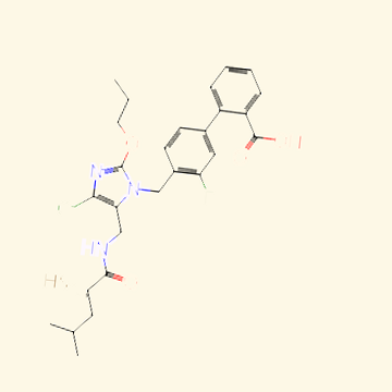 CCCOc1nc(Cl)c(CNC(=O)[C@@H](S)CC(C)C)n1Cc1ccc(-c2ccccc2C(=O)O)cc1F